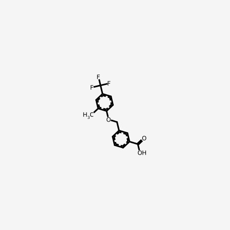 Cc1cc(C(F)(F)F)ccc1OCc1cccc(C(=O)O)c1